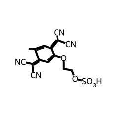 Cc1cc(=C(C#N)C#N)c(OCCOS(=O)(=O)O)cc1=C(C#N)C#N